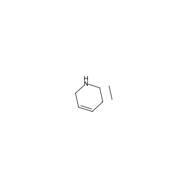 C1=CCNCC1.CC